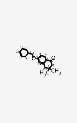 CC1(C)CC(=O)c2ccc(OCC3C=CC=CC3)nc2C1